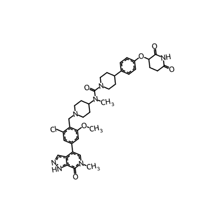 COc1cc(-c2cn(C)c(=O)c3[nH]ncc23)cc(Cl)c1CN1CCC(N(C)C(=O)N2CCC(c3ccc(OC4CCC(=O)NC4=O)cc3)CC2)CC1